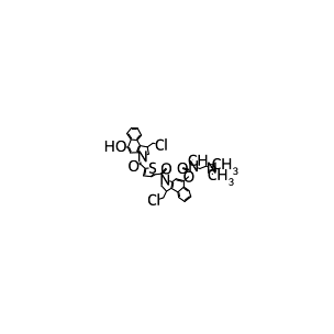 CN(C)CCN(C)C(=O)Oc1cc2c(c3ccccc13)C(CCl)CN2C(=O)c1ccc(C(=O)N2CC(CCl)c3c2cc(O)c2ccccc32)s1